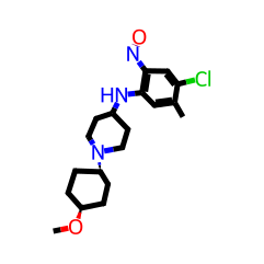 CO[C@H]1CC[C@H](N2CCC(Nc3cc(C)c(Cl)cc3N=O)CC2)CC1